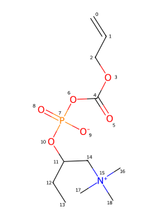 C=CCOC(=O)OP(=O)([O-])OC(CC)C[N+](C)(C)C